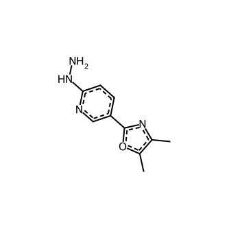 Cc1nc(-c2ccc(NN)nc2)oc1C